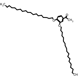 CCCCCCCCCCCCCCCCCCCOc1ccc(C(C)=O)cc1OCCCCCCCCCCCCCCCCCCC